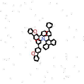 c1ccc(-c2ccc(-c3c(N(c4cccc(-c5ccc6c(c5)oc5ccccc56)c4)c4ccccc4-c4cccc5c4oc4ccccc45)c4ccccc4c4ccccc34)cc2)cc1